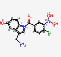 NCc1cn(C(=O)c2ccc(Cl)c(N(O)O)c2)c2ccc(O)cc12